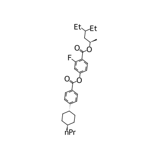 CCC[C@H]1CC[C@H](c2ccc(C(=O)Oc3ccc(C(=O)O[C@H](C)CC(CC)CC)c(F)c3)cc2)CC1